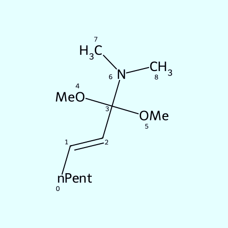 CCCCC/C=C/C(OC)(OC)N(C)C